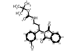 CC(C)(C)OC(=O)NCCC(c1cccc(Cl)c1)N1C(=O)c2ccccc2C1=O